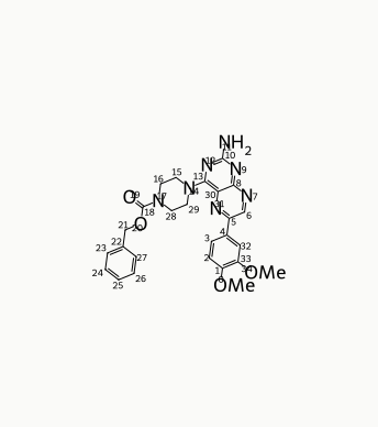 COc1ccc(-c2cnc3nc(N)nc(N4CCN(C(=O)OCc5ccccc5)CC4)c3n2)cc1OC